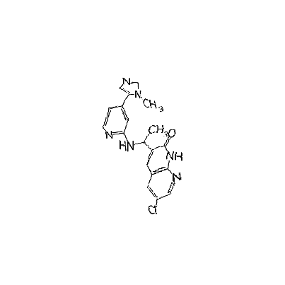 CC(Nc1cc(-c2cncn2C)ccn1)c1cc2cc(Cl)cnc2[nH]c1=O